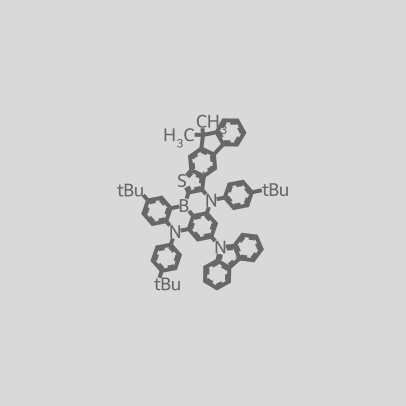 CC(C)(C)c1ccc(N2c3ccc(C(C)(C)C)cc3B3c4sc5cc6c(cc5c4N(c4ccc(C(C)(C)C)cc4)c4cc(-n5c7ccccc7c7ccccc75)cc2c43)-c2ccccc2C6(C)C)cc1